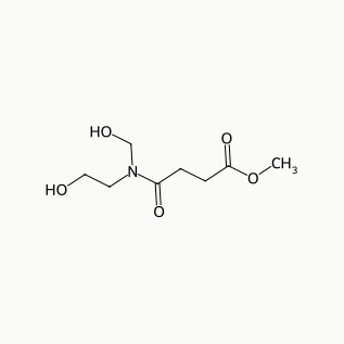 COC(=O)CCC(=O)N(CO)CCO